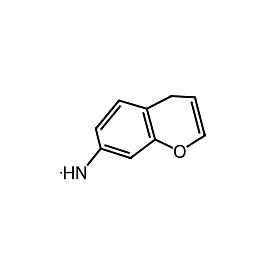 [NH]c1ccc2c(c1)OC=CC2